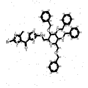 Cc1nc(Br)sc1C(=O)c1cnc(NCC2OC(COCc3ccccc3)C(OCc3ccccc3)C(OCc3ccccc3)C2OCc2ccccc2)s1